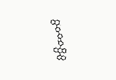 c1ccc2c(-c3c4ccccc4c(-c4ccc5c(c4)oc4cc(-c6ccc7c(c6)sc6ccc8ccccc8c67)ccc45)c4ccccc34)cccc2c1